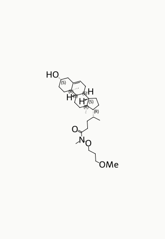 COCCCON(C)C(=O)CCC(C)[C@H]1CC[C@H]2[C@@H]3CC=C4C[C@@H](O)CC[C@]4(C)[C@H]3CC[C@]12C